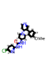 COc1ccc(-c2cnccc2N2CCC(NC(=O)Nc3ccc(Cl)cn3)CC2)cc1